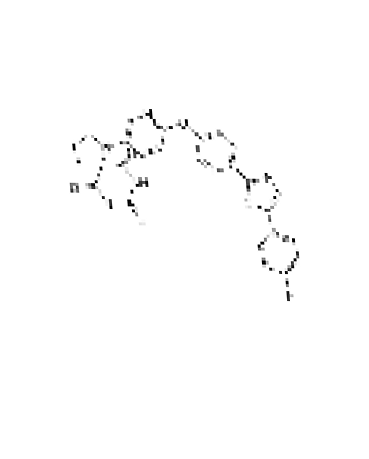 O=C1NC(=O)C2(CCCN2c2ccc(Oc3ccc(-c4ncc(-c5ccc(F)cc5)o4)cc3)nc2)C(=O)N1